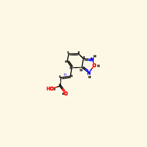 O=C(O)/C=C/c1cccc2nonc12